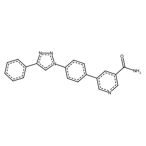 NC(=O)c1cncc(-c2ccc(-n3cc(-c4ccccc4)nn3)cc2)c1